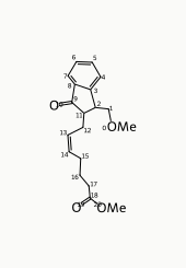 COCC1c2ccccc2C(=O)C1C/C=C\CCCC(=O)OC